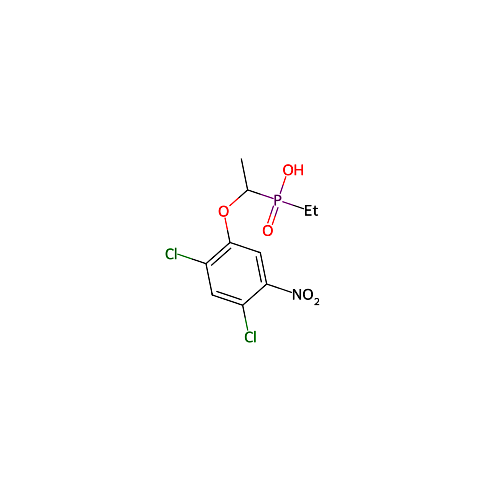 CCP(=O)(O)C(C)Oc1cc([N+](=O)[O-])c(Cl)cc1Cl